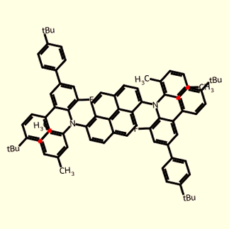 Cc1ccc(C)c(N(c2c(F)cc(-c3ccc(C(C)(C)C)cc3)cc2-c2ccc(C(C)(C)C)cc2)c2ccc3ccc4c(N(c5cc(C)ccc5C)c5c(F)cc(-c6ccc(C(C)(C)C)cc6)cc5-c5ccc(C(C)(C)C)cc5)ccc5ccc2c3c54)c1